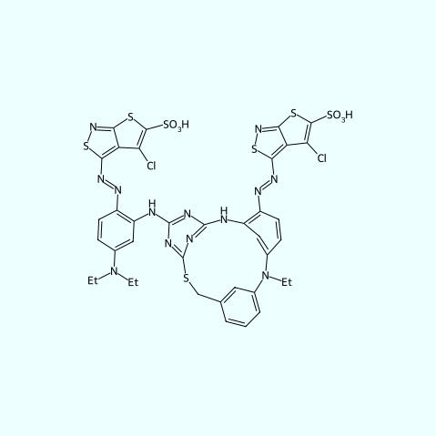 CCN(CC)c1ccc(/N=N/c2snc3sc(S(=O)(=O)O)c(Cl)c23)c(Nc2nc3nc(n2)SCc2cccc(c2)N(CC)c2ccc(/N=N/c4snc5sc(S(=O)(=O)O)c(Cl)c45)c(c2)N3)c1